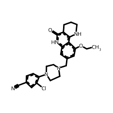 CCOc1cc(CN2CCN(c3ccc(C#N)cc3Cl)CC2)cc2[nH]c(=O)c3c(c12)NCCC3